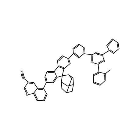 Cc1ccccc1-c1nc(-c2ccccc2)nc(-c2cccc(-c3ccc4c(c3)C3(c5cc(-c6cccc7ncc(C#N)cc67)ccc5-4)C4CC5CC(C4)CC3C5)c2)n1